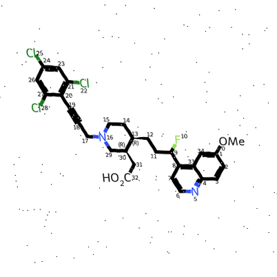 COc1ccc2nccc(C(F)CC[C@@H]3CCN(CC#Cc4c(Cl)cc(Cl)cc4Cl)C[C@@H]3CC(=O)O)c2c1